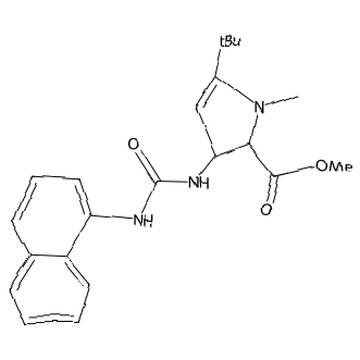 COC(=O)C1C(NC(=O)Nc2cccc3ccccc23)C=C(C(C)(C)C)N1C